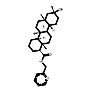 C[C@@]1(O)CC[C@H]2[C@H](CC[C@@H]3[C@@H]2CC[C@]2(C)[C@@H](C(=O)NCc4ccccn4)CCC[C@@H]32)C1